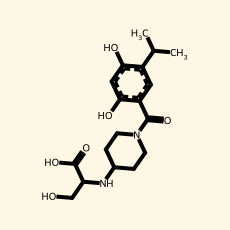 CC(C)c1cc(C(=O)N2CCC(NC(CO)C(=O)O)CC2)c(O)cc1O